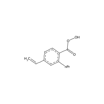 C=Cc1ccc(C(=O)OO)c(CCC)c1